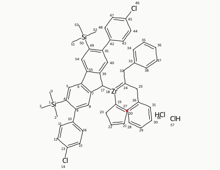 C[Si](C)(C)c1cc2c(cc1-c1ccc(Cl)cc1)[CH]([Zr]([C]1=CC=CC1)=[C](Cc1ccccc1)Cc1ccccc1)c1cc(-c3ccc(Cl)cc3)c([Si](C)(C)C)cc1-2.Cl.Cl